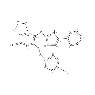 O=c1nc(SCc2ccc(F)cc2)n(Cc2ncc(-c3ccccc3)[nH]2)c2c1CCC2